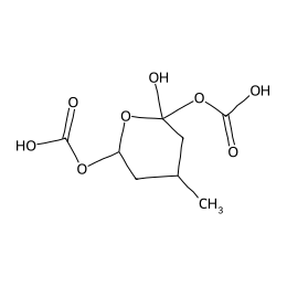 CC1CC(OC(=O)O)OC(O)(OC(=O)O)C1